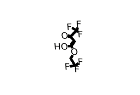 O=C(/C=C(\O)OCC(F)(F)F)C(F)(F)F